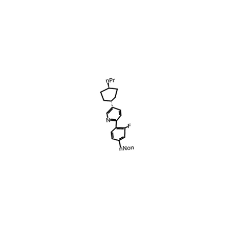 CCCCCCCCCc1ccc(-c2ccc([C@H]3CC[C@H](CCC)CC3)cn2)c(F)c1